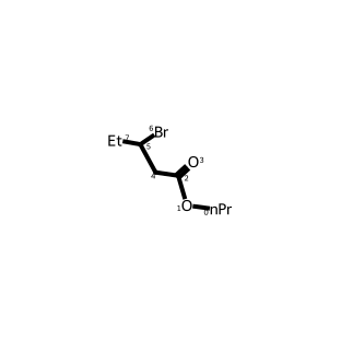 CCCOC(=O)CC(Br)CC